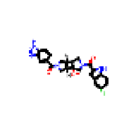 O=C(c1ccc2[nH]nnc2c1)N1C[C@@H]2C3CN(C(=O)c4cc5cc(Cl)ccc5[nH]4)CC3(O)[C@@H]2C1